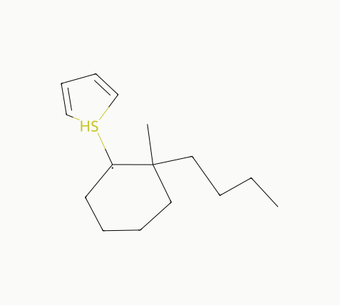 CCCCC1(C)CCCC[C]1[SH]1C=CC=C1